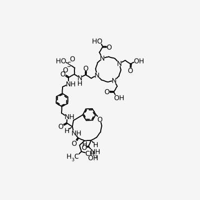 CC(C)C[C@H]1C(=O)N[C@H](C(=O)NCc2ccc(CNC(=O)C(CS(=O)(=O)O)NC(=O)CN3CCN(CC(=O)O)CCN(CC(=O)O)CCN(CC(=O)O)CC3)cc2)Cc2ccc(cc2)OCCC[C@@H]1C(=O)NO